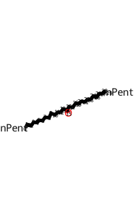 CCCCCC=CCC=CCCCCCCCCC(=O)CCCCCCCCC=CCC=CCCCCC